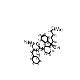 CNC[C@H](CC1CCCCC1)NC(=O)N1CCC[C@@H]([C@@](O)(CCCCOC)c2ccccc2)C1